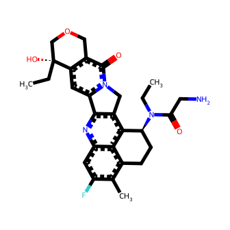 CCN(C(=O)CN)[C@H]1CCc2c(C)c(F)cc3nc4c(c1c23)Cn1c-4cc2c(c1=O)COC[C@]2(O)CC